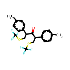 Cc1ccc(C(CSC(F)(F)F)C(=O)C(CSC(F)(F)F)c2ccc(C)cc2)cc1